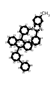 Cc1ccc2c(c1)nc(-c1ccccc1)n2-c1cccc(-c2c3ccccc3c(-c3cccc(-c4ccccc4)c3)c3ccccc23)c1